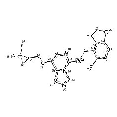 Fc1ccc2c(c1CNc1ncc(OCC3CC3(F)F)c3nncn13)CCO2